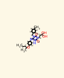 CCC[C@@H](C)Oc1ccc(/N=c2\[nH]c(=O)n(CCC(O)O)c(=O)n2Cc2ccc(C)cc2)cc1